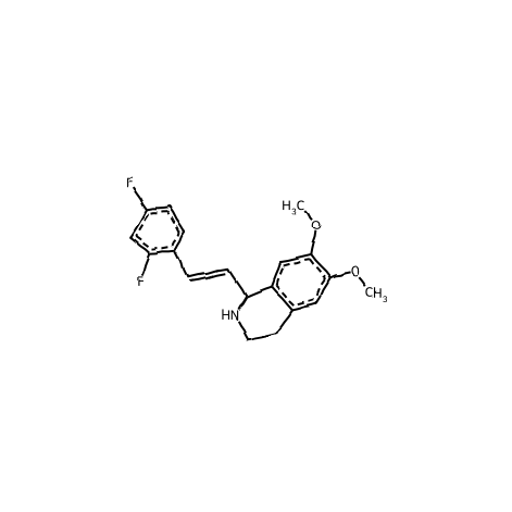 COc1cc2c(cc1OC)C(C=Cc1ccc(F)cc1F)NCC2